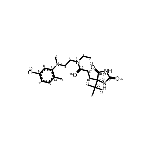 CCN(CCN(C)c1cc(Cl)ccc1C)C(=O)CCC1(C(C)(C)C)NC(=O)NC1=O